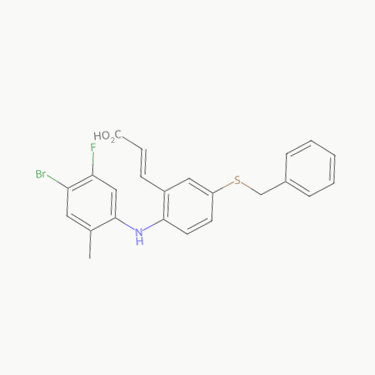 Cc1cc(Br)c(F)cc1Nc1ccc(SCc2ccccc2)cc1C=CC(=O)O